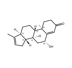 CC1=CC[C@H]2[C@@H]3C[C@@H](O)C4=CC(=O)CC[C@]4(C)[C@H]3CC[C@H]12